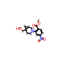 COC(=O)c1ccc([N+](=O)[O-])cc1N1CCC2(CO)CC2C1